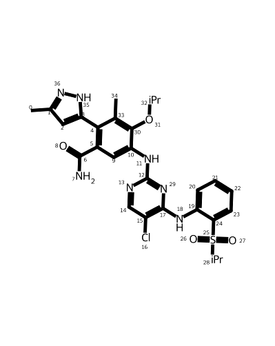 Cc1cc(-c2c(C(N)=O)cc(Nc3ncc(Cl)c(Nc4ccccc4S(=O)(=O)C(C)C)n3)c(OC(C)C)c2C)[nH]n1